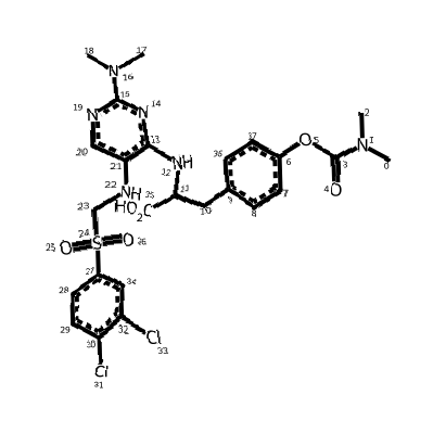 CN(C)C(=O)Oc1ccc(CC(Nc2nc(N(C)C)ncc2NCS(=O)(=O)c2ccc(Cl)c(Cl)c2)C(=O)O)cc1